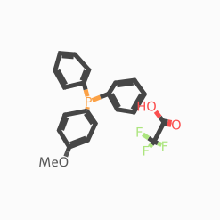 COc1ccc(P(c2ccccc2)c2ccccc2)cc1.O=C(O)C(F)(F)F